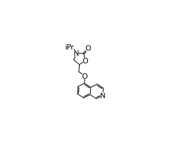 CC(C)N1CC(COc2cccc3cnccc23)OC1=O